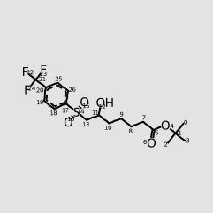 CC(C)(C)OC(=O)CCCCC(O)CS(=O)(=O)c1ccc(C(F)(F)F)cc1